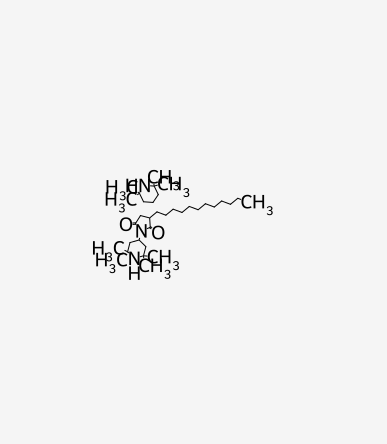 CC1(C)CCCC(C)(C)N1.CCCCCCCCCCCCC1CC(=O)N(C2CC(C)(C)NC(C)(C)C2)C1=O